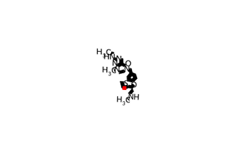 CCNc1ncc2c(n1)N(C)CCN(Cc1ccc(O[C@@H](CCNC)c3cccs3)cc1)C2=O